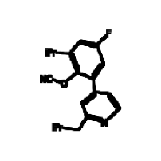 CC(C)Cc1cc(-c2cc(F)cc(C(C)C)c2OC#N)ccn1